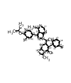 Cc1csc2nc([C@H](C)n3nc(-c4cnc(OC(C)C)c(F)c4)c4c(N)ncnc43)c(-c3cccc(F)c3)c(=O)n12